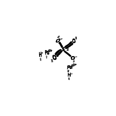 O=S(=O)([O-])[O-].[H-].[H-].[Pd+2].[Pd+2]